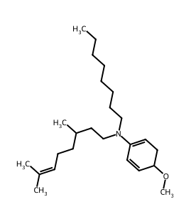 CCCCCCCCN(CCC(C)CCC=C(C)C)C1=CCC(OC)C=C1